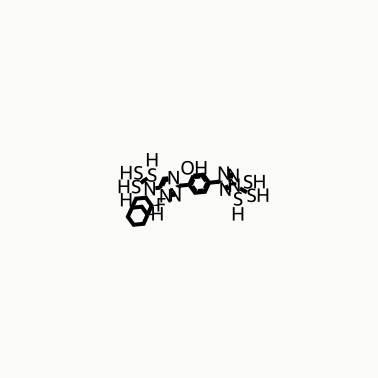 Oc1cc(-c2nnn(C(S)(S)S)n2)ccc1-c1ncc(N([C@H]2C[C@@H]3CCC[C@@H](C3)[C@H]2F)C(S)(S)S)nn1